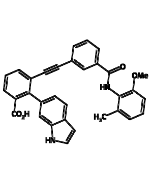 COc1cccc(C)c1NC(=O)c1cccc(C#Cc2cccc(C(=O)O)c2-c2ccc3cc[nH]c3c2)c1